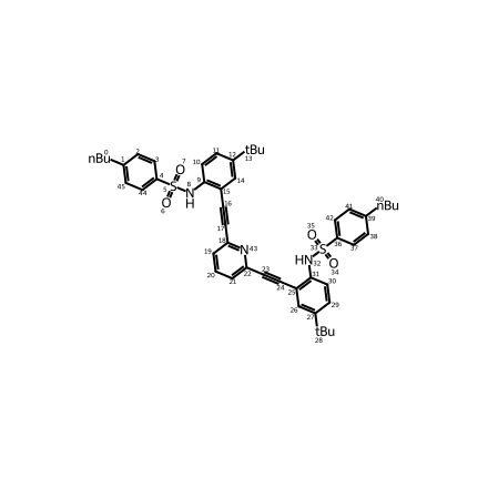 CCCCc1ccc(S(=O)(=O)Nc2ccc(C(C)(C)C)cc2C#Cc2cccc(C#Cc3cc(C(C)(C)C)ccc3NS(=O)(=O)c3ccc(CCCC)cc3)n2)cc1